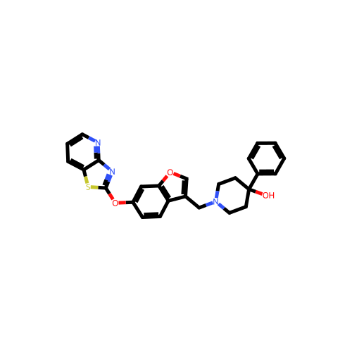 OC1(c2ccccc2)CCN(Cc2coc3cc(Oc4nc5ncccc5s4)ccc23)CC1